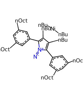 CCCCCCCCc1cc(CCCCCCCC)cc(C2=C(CCCC)C(CCCC)=C(c3cc(CCCCCCCC)cc(CCCCCCCC)c3)[N+]2=[N-])c1.CCC[CH2][Ni][CH2]CCC